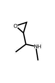 CNC(C)C1CO1